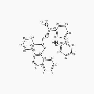 CC1Cc2c(ccc3ccccc23)C2=C1CCC=C2.COC(=O)c1cccc2c1[nH]c1ccccc12